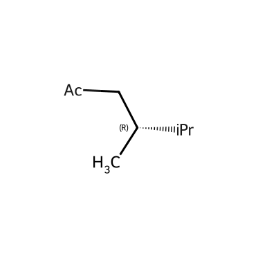 CC(=O)C[C@@H](C)C(C)C